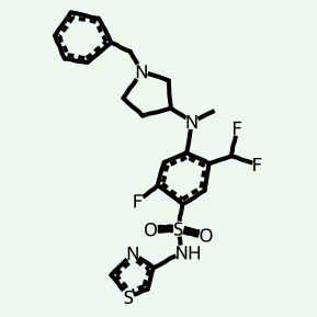 CN(c1cc(F)c(S(=O)(=O)Nc2cscn2)cc1C(F)F)C1CCN(Cc2ccccc2)C1